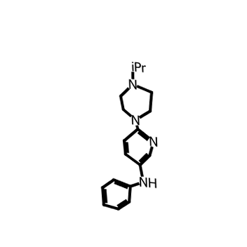 CC(C)N1CCN(c2ccc(Nc3ccccc3)cn2)CC1